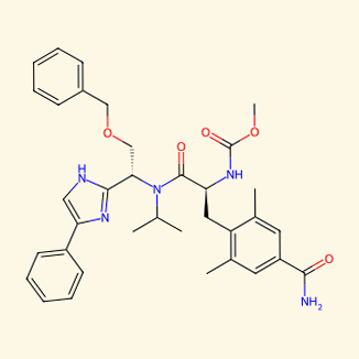 COC(=O)N[C@@H](Cc1c(C)cc(C(N)=O)cc1C)C(=O)N(C(C)C)[C@@H](COCc1ccccc1)c1nc(-c2ccccc2)c[nH]1